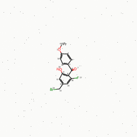 CCCOc1ccc(C(=O)c2c(O)cc(CBr)cc2F)cc1